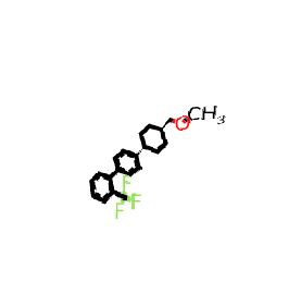 COC[C@H]1CC[C@H](c2ccc(-c3ccccc3C(F)(F)F)cc2)CC1